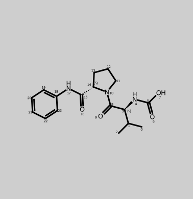 CC(C)[C@H](NC(=O)O)C(=O)N1CCC[C@H]1C(=O)Nc1ccccc1